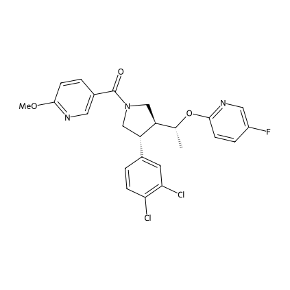 COc1ccc(C(=O)N2C[C@@H]([C@@H](C)Oc3ccc(F)cn3)[C@H](c3ccc(Cl)c(Cl)c3)C2)cn1